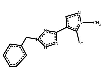 Cn1ncc(-c2nnn(Cc3ccccc3)n2)c1S